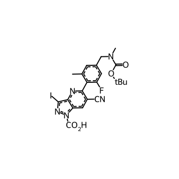 Cc1cc(CN(C)C(=O)OC(C)(C)C)cc(F)c1-c1nc2c(I)nn(C(=O)O)c2cc1C#N